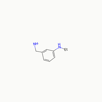 CCNc1cccc(C[NH])c1